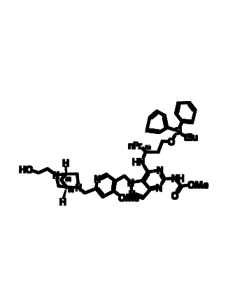 CCC[C@@H](CCO[Si](c1ccccc1)(c1ccccc1)C(C)(C)C)Nc1nc(NC(=O)OC)nc2cnn(Cc3cnc(CN4C[C@H]5C[C@@H]4CN5CCO)cc3OC)c12